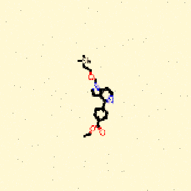 CCOC(=O)c1ccc(-c2nccc3c2ccn3COCC[Si](C)(C)C)cc1